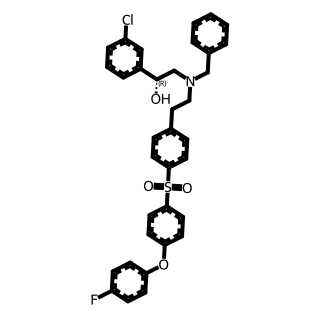 O=S(=O)(c1ccc(CCN(Cc2ccccc2)C[C@H](O)c2cccc(Cl)c2)cc1)c1ccc(Oc2ccc(F)cc2)cc1